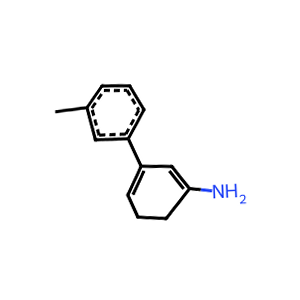 Cc1cccc(C2=CCCC(N)=C2)c1